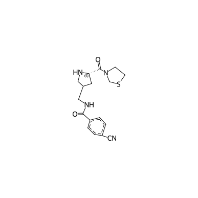 N#Cc1ccc(C(=O)NCC2CN[C@H](C(=O)N3CCSC3)C2)cc1